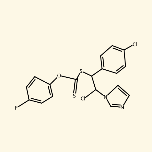 Fc1ccc(OC(=S)SC(c2ccc(Cl)cc2)C(Cl)n2ccnc2)cc1